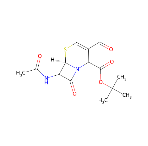 CC(=O)NC1C(=O)N2C(C(=O)OC(C)(C)C)C(C=O)=CS[C@H]12